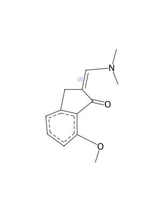 COc1cccc2c1C(=O)/C(=C\N(C)C)C2